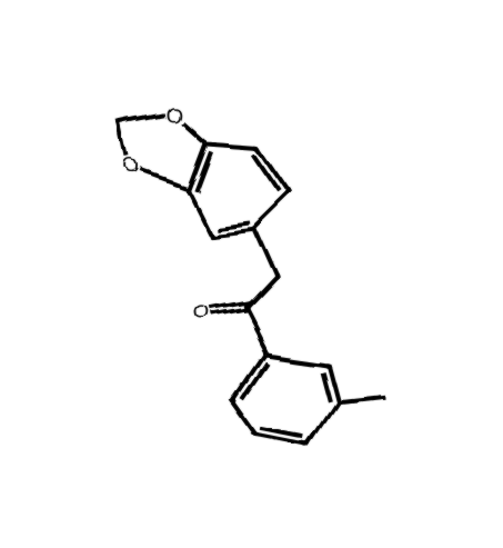 Cc1cccc(C(=O)Cc2ccc3c(c2)OCO3)c1